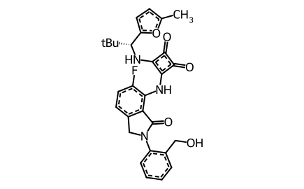 Cc1ccc([C@H](Nc2c(Nc3c(F)ccc4c3C(=O)N(c3ccccc3CO)C4)c(=O)c2=O)C(C)(C)C)o1